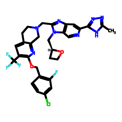 Cc1nnc(-c2cc3nc(CN4CCc5cc(C(F)(F)F)c(OCc6ccc(Cl)cc6F)nc5C4)n(C[C@@H]4CCO4)c3cn2)[nH]1